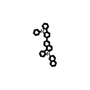 c1ccc(-n2c3ccccc3c3ccc(-c4ccc5c(ccc6c5c5ccccc5n6-c5ccc6ccccc6c5)c4)cc32)cc1